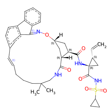 C=C[C@@H]1C[C@]1(NC(=O)[C@@H]1C[C@@H]2C[C@H]1C(=O)NCC(C)(C)CCC/C=C/c1ccc3c(c1)/C(=N/O2)c1ccccc1-3)C(=O)NS(=O)(=O)C1CC1